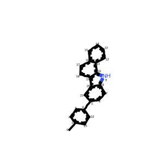 Cc1ccc(-c2ccc3[nH]c4c5ccccc5ccc4c3c2)cc1